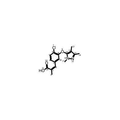 CC(=Cc1ccc(Cl)c(Oc2c(C)c(C)nn2C)c1)C(=O)O